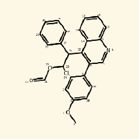 COc1ccc(-c2cnc3ccccc3c2C(c2ccccc2)C(Cl)OC=O)cc1